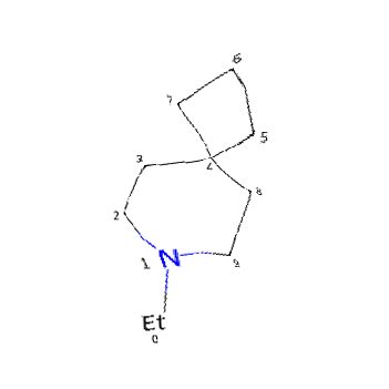 CCN1CCC2(CCC2)CC1